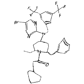 CCC1CC(N(Cc2cc(C(F)(F)F)cc(C(F)(F)F)c2)c2ncc(Br)cn2)CC(Cc2ccccc2)N1C(=O)CC1CCCC1